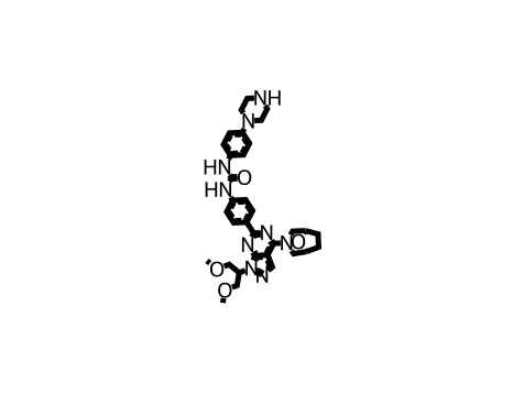 COCC(COC)n1ncc2c(N3CC4CCC(C3)O4)nc(-c3ccc(NC(=O)Nc4ccc(N5CCNCC5)cc4)cc3)nc21